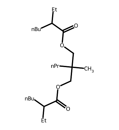 CCCCC(CC)C(=O)OCC(C)(CCC)COC(=O)C(CC)CCCC